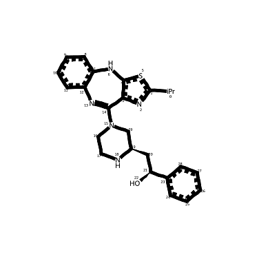 CC(C)c1nc2c(s1)Nc1ccccc1N=C2N1CCN[C@H](C[C@H](O)c2ccccc2)C1